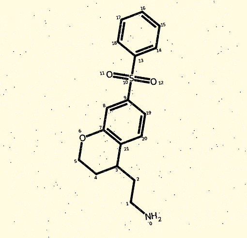 NCCC1CCOc2cc(S(=O)(=O)c3ccccc3)ccc21